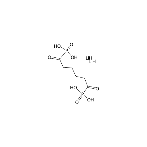 O=C(CCCCC(=O)P(=O)(O)O)P(=O)(O)O.[LiH].[LiH]